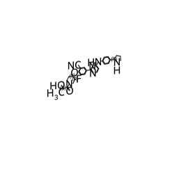 C[C@H](O)C(=O)N1CC[C@H](Oc2ccc(-c3nccc(Nc4ccc([C@H]5CCCN5)cc4)n3)cc2C#N)[C@H](F)C1